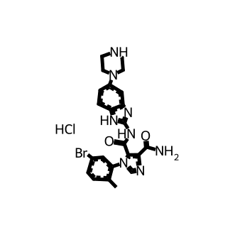 Cc1ccc(Br)cc1-n1cnc(C(N)=O)c1C(=O)Nc1nc2cc(N3CCNCC3)ccc2[nH]1.Cl